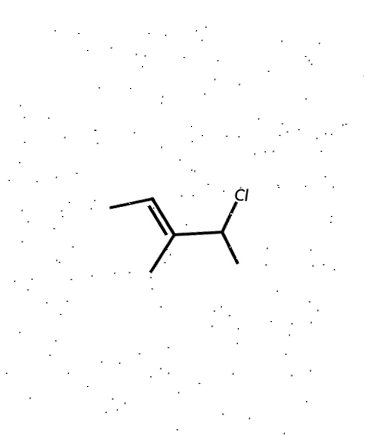 C/C=C(\C)C(C)Cl